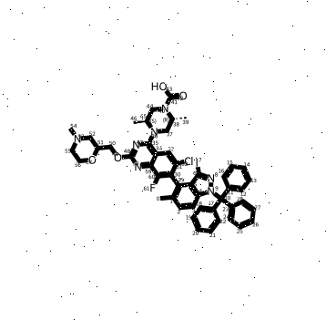 Cc1ccc2c(c(I)nn2C(c2ccccc2)(c2ccccc2)c2ccccc2)c1-c1c(Cl)cc2c(N3C[C@@H](C)N(C(=O)O)C[C@@H]3C)nc(OCC3CN(C)CCO3)nc2c1F